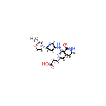 C[C@@H]1CN(c2ccc(Nc3nc(/C=C/C(=O)O)cc4cc[nH]c(=O)c34)cn2)CCO1